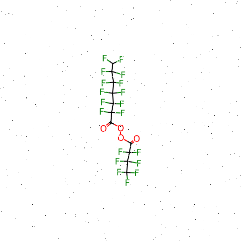 O=C(OOC(=O)C(F)(F)C(F)(F)C(F)(F)C(F)(F)C(F)(F)C(F)F)C(F)(F)C(F)(F)C(F)(F)F